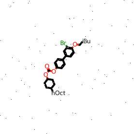 CCCCCCCCC1CCC(OC(=O)Oc2ccc(-c3ccc(OCC(C)CC)c(Br)c3)cc2)CC1